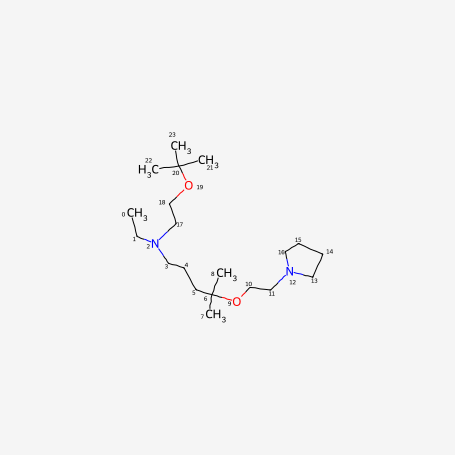 CCN(CCCC(C)(C)OCCN1CCCC1)CCOC(C)(C)C